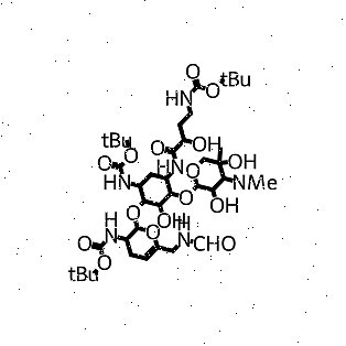 CNC1C(O)C(OC2C(NC(=O)C(O)CCNC(=O)OC(C)(C)C)CC(NC(=O)OC(C)(C)C)C(OC3OC(CNC=O)=CCC3NC(=O)OC(C)(C)C)C2O)OCC1(C)O